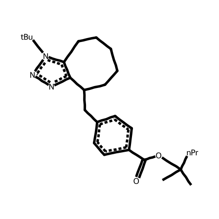 CCCC(C)(C)OC(=O)c1ccc(CC2CCCCCc3c2nnn3C(C)(C)C)cc1